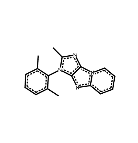 Cc1cccc(C)c1-n1c(C)nc2c1nc1ccccn12